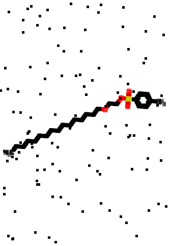 CCCCCCCCCCCCCCCCOCCOS(=O)(=O)c1ccc(C)cc1